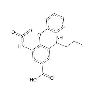 CCCC(=N)c1cc(C(=O)O)cc(N[SH](=O)=O)c1Oc1ccccc1